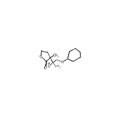 CC(O)(COC1CCCCC1)C1(C)CCOC1=O